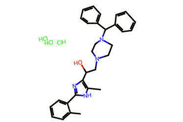 Cc1ccccc1-c1nc(C(O)CN2CCN(C(c3ccccc3)c3ccccc3)CC2)c(C)[nH]1.Cl.Cl.Cl